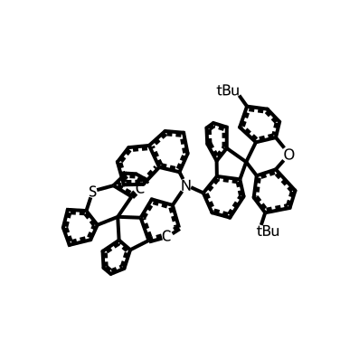 CC(C)(C)c1ccc2c(c1)C1(c3cc(C(C)(C)C)ccc3O2)c2ccccc2-c2c(N(c3ccc4c(c3)C3(c5ccccc5Sc5ccccc53)c3ccccc3-4)c3cccc4ccccc34)cccc21